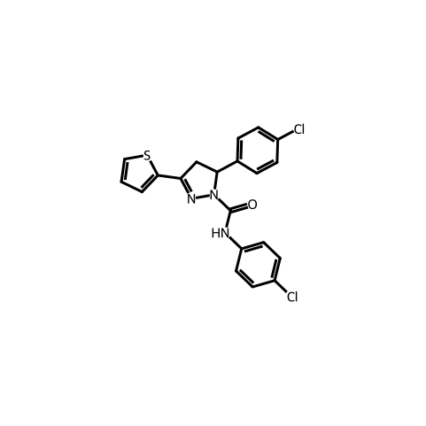 O=C(Nc1ccc(Cl)cc1)N1N=C(c2cccs2)CC1c1ccc(Cl)cc1